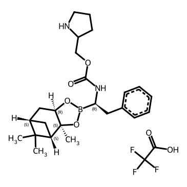 CC1(C)[C@@H]2C[C@H]3OB([C@H](Cc4ccccc4)NC(=O)OCC4CCCN4)O[C@@]3(C)[C@H]1C2.O=C(O)C(F)(F)F